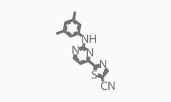 Cc1cc(C)cc(Nc2nccc(-c3ncc(C#N)s3)n2)c1